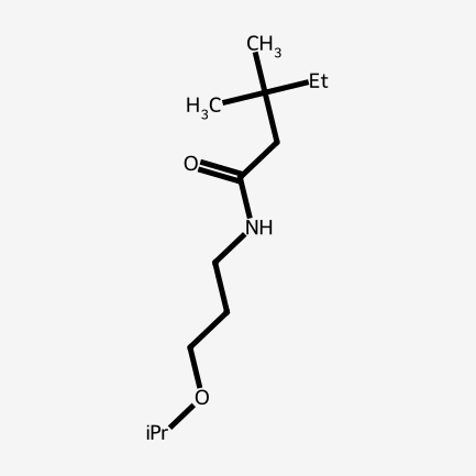 CCC(C)(C)CC(=O)NCCCOC(C)C